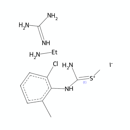 C/[S+]=C(\N)Nc1c(C)cccc1Cl.CCN.N=C(N)N.[I-]